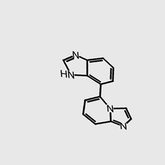 c1cc(-c2cccc3nccn23)c2[nH]cnc2c1